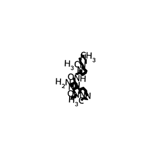 Cc1cnc2ccc(-c3nc(C(=O)NCc4cccc(N5CCN(C)CC5C)n4)c(N)nc3-c3ncco3)cn12